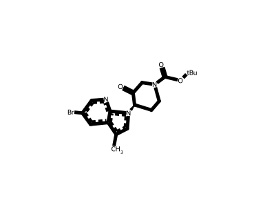 Cc1cn([C@@H]2CCN(C(=O)OC(C)(C)C)CC2=O)c2ncc(Br)cc12